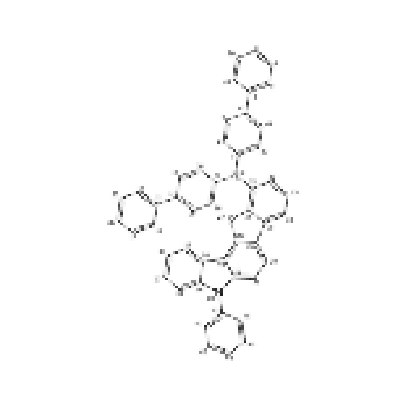 c1ccc(-c2ccc(N(c3ccc(-c4ccccc4)cc3)c3cccc4c3sc3c4ccc4c3c3ccccc3n4-c3ccccc3)cc2)cc1